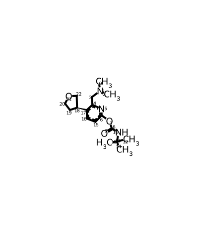 CN(C)Cc1nc(OC(=O)NC(C)(C)C)ccc1[C@H]1CCOC1